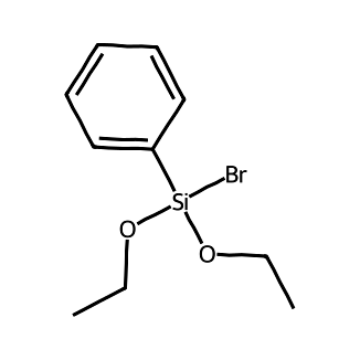 CCO[Si](Br)(OCC)c1ccccc1